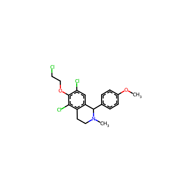 COc1ccc(C2c3cc(Cl)c(OCCCl)c(Cl)c3CCN2C)cc1